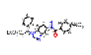 CCOC(=O)CC(c1ccccc1)n1cnc2cc(NC(=O)c3ccc([N+](=O)[O-])cc3)ccc21